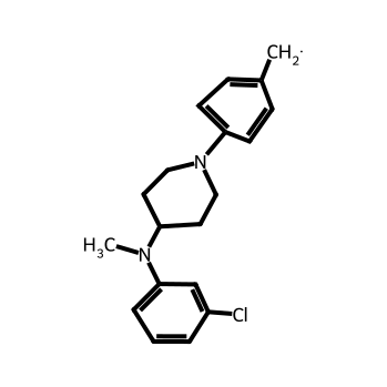 [CH2]c1ccc(N2CCC(N(C)c3cccc(Cl)c3)CC2)cc1